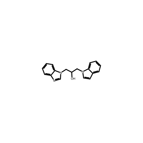 OC(Cn1ccc2ccccc21)Cn1cnc2ccccc21